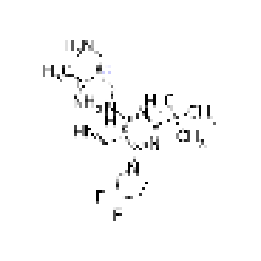 CN(N)/C(=C\N)CNc1nc(C(C)(C)C)nc(N2CCC(F)(F)C2)c1C=N